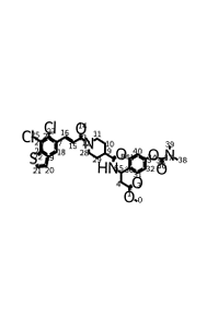 COC(=O)CC(NC(=O)C1CCN(C(=O)C=Cc2cc3ccsc3c(Cl)c2Cl)CC1)c1ccc(OC(=O)N(C)C)cc1